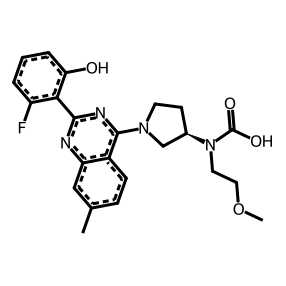 COCCN(C(=O)O)[C@@H]1CCN(c2nc(-c3c(O)cccc3F)nc3cc(C)ccc23)C1